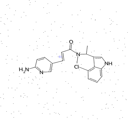 CC(c1c[nH]c2cccc(Cl)c12)N(C)C(=O)/C=C/c1ccc(N)nc1